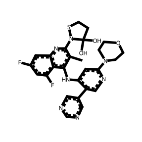 Cc1c(N2SCCC2(O)O)nc2cc(F)cc(F)c2c1Nc1cc(N2CCOCC2)ncc1-c1cncnc1